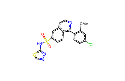 COc1cc(Cl)ccc1-c1nccc2cc(S(=O)(=O)Nc3nncs3)ccc12